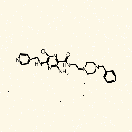 Nc1nc(NCc2ccncc2)c(Cl)nc1C(=O)NCCN1CCN(Cc2ccccc2)CC1